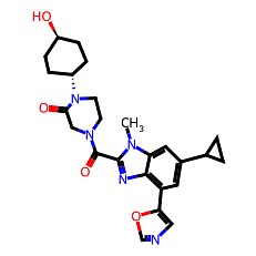 Cn1c(C(=O)N2CCN([C@H]3CC[C@H](O)CC3)C(=O)C2)nc2c(-c3cnco3)cc(C3CC3)cc21